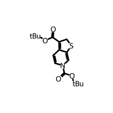 CC(C)(C)OC(=O)C1=C2C=CN(C(=O)OC(C)(C)C)C=C2SC1